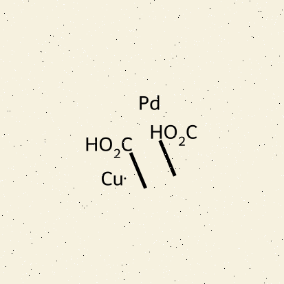 CC(=O)O.CC(=O)O.[Cu].[Pd]